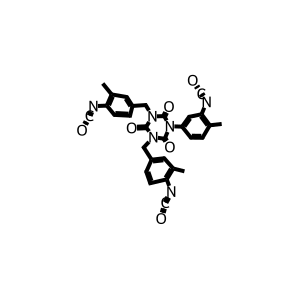 Cc1cc(Cn2c(=O)n(Cc3ccc(N=C=O)c(C)c3)c(=O)n(-c3ccc(C)c(N=C=O)c3)c2=O)ccc1N=C=O